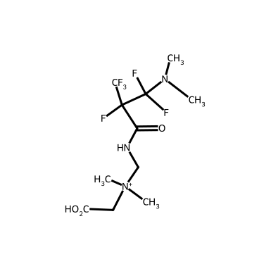 CN(C)C(F)(F)C(F)(C(=O)NC[N+](C)(C)CC(=O)O)C(F)(F)F